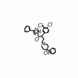 O=C(C(CCN1CCC(O)(c2ccccc2)CC1)c1ccc(Cl)c(Cl)c1)n1cc(-c2ccccc2)nn1